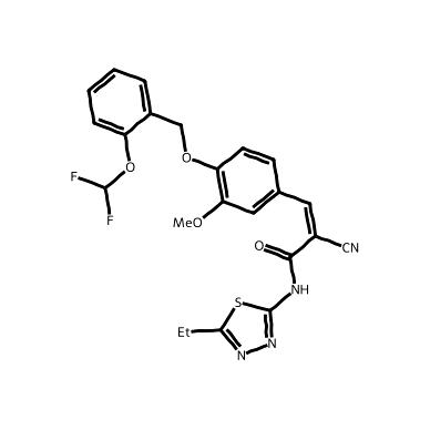 CCc1nnc(NC(=O)C(C#N)=Cc2ccc(OCc3ccccc3OC(F)F)c(OC)c2)s1